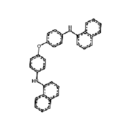 c1ccc2c(Nc3ccc(Oc4ccc(Nc5cccc6ccccc56)cc4)cc3)cccc2c1